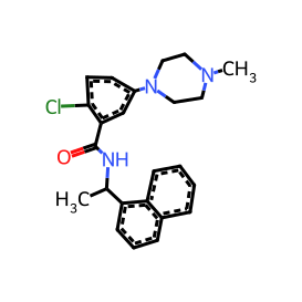 CC(NC(=O)c1cc(N2CCN(C)CC2)ccc1Cl)c1cccc2ccccc12